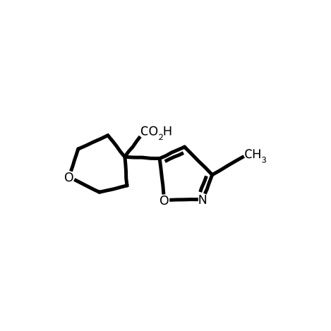 Cc1cc(C2(C(=O)O)CCOCC2)on1